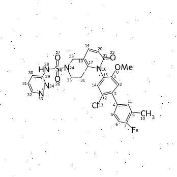 COc1cc(-c2ccc(F)c(C)c2)c(Cl)cc1-n1c2c(ccc1=O)CN(S(=O)(=O)Nc1cccnn1)CC2